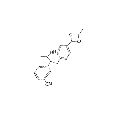 CC1OC(c2ccc(CC(c3cccc(C#N)c3)C(C)N)cc2)O1